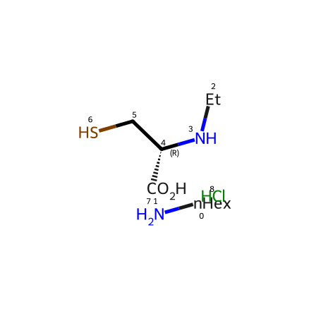 CCCCCCN.CCN[C@@H](CS)C(=O)O.Cl